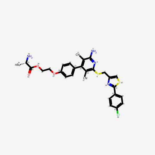 [C-]#[N+]c1c(N)nc(SCc2csc(-c3ccc(Cl)cc3)n2)c(C#N)c1-c1ccc(OCCOC(=O)[C@@H](N)CCCC)cc1